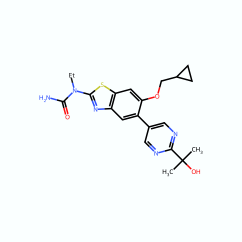 CCN(C(N)=O)c1nc2cc(-c3cnc(C(C)(C)O)nc3)c(OCC3CC3)cc2s1